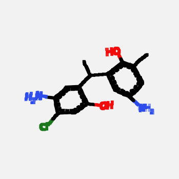 Cc1cc(N)cc(C(C)c2cc(N)c(Cl)cc2O)c1O